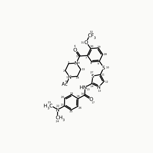 CC(=O)N1CCN(C(=O)c2cc(Sc3cnc(NC(=O)c4ccc(N(C)C)cc4)s3)ccc2OC(F)(F)F)CC1